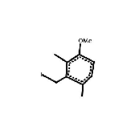 COc1ccc(C)c(CI)c1C